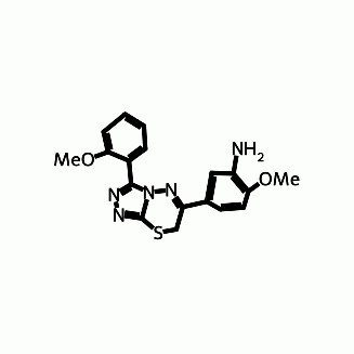 COc1ccc(C2=Nn3c(nnc3-c3ccccc3OC)SC2)cc1N